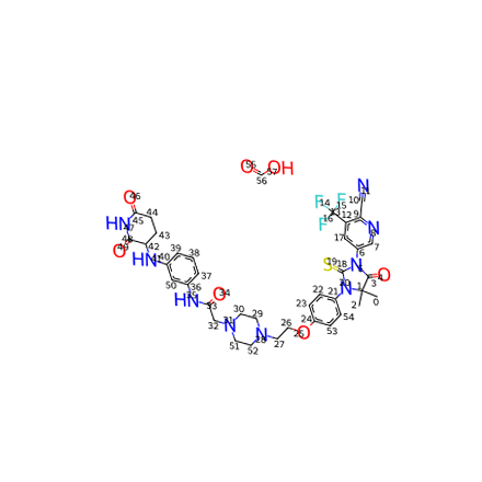 CC1(C)C(=O)N(c2cnc(C#N)c(C(F)(F)F)c2)C(=S)N1c1ccc(OCCN2CCN(CC(=O)Nc3cccc(NC4CCC(=O)NC4=O)c3)CC2)cc1.O=CO